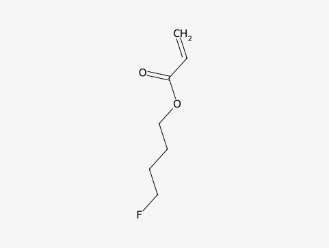 C=CC(=O)OCCCCF